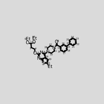 CCOC(CCOc1nc(N2CCN(C(=O)c3cccc(-c4ccccc4)c3)CC2)c2cc(CC)sc2n1)OCC